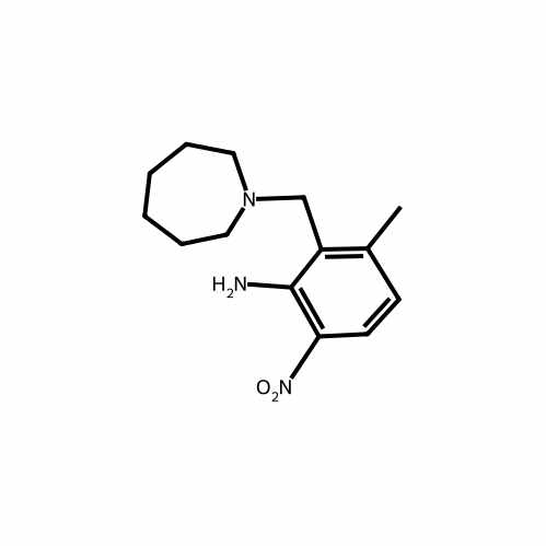 Cc1ccc([N+](=O)[O-])c(N)c1CN1CCCCCC1